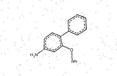 CCCOc1cc(N)ccc1-c1ccccc1